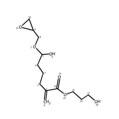 C=C(CCCC(O)OCC1CO1)C(=O)OCCCO